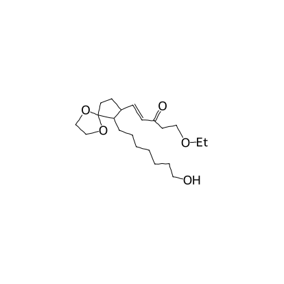 CCOCCC(=O)C=CC1CCC2(OCCO2)C1CCCCCCCO